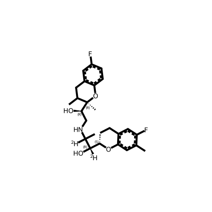 [2H]C(C)(NC[C@@H](O)[C@]1(C)Oc2ccc(F)cc2CC1C)[C@@]([2H])(O)[C@@H]1CCc2cc(F)c(C)cc2O1